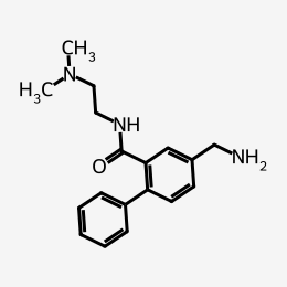 CN(C)CCNC(=O)c1cc(CN)ccc1-c1ccccc1